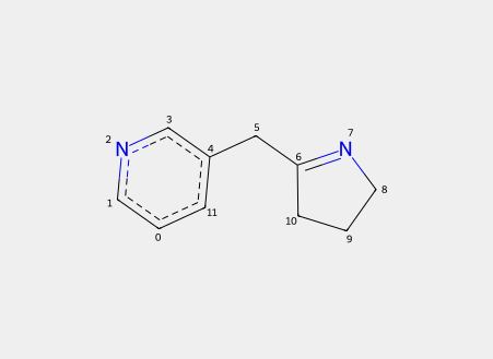 c1cncc(CC2=NCCC2)c1